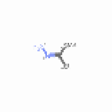 CCC(=NN)SC